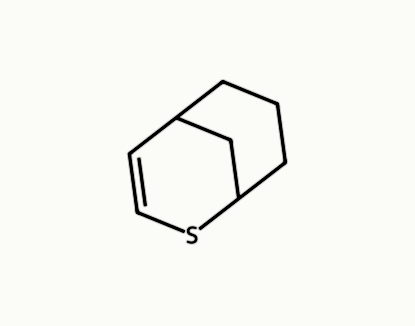 C1=CC2CCCC(C2)S1